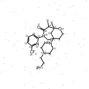 CC(C)CCN1CCN(C23CCOC(C)(C2)C(C)C(=O)N(c2cccc(C(F)(F)F)n2)C3)CC1